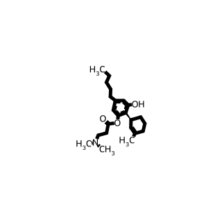 CCCCCc1cc(O)c([C@@H]2C=C(C)CCC2)c(OC(=O)CCN(C)C)c1